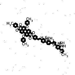 Cc1ccc(Oc2cc3c4c(ccc5c6c(Oc7ccc(C)cc7)cc7c8c(ccc(c2c45)c86)C(=O)N(c2ccc(/C=C/c4ccc5c(c4)[Si](C)(C)c4cc(-c6ccc(C8=CC=C(c9ccc(C)s9)C(=N)/C8=N\S)s6)ccc4-5)cc2)C7=O)C(=O)N(c2ccc(C)cc2)C3=O)cc1